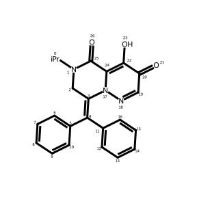 CC(C)N1CC(=C(c2ccccc2)c2ccccc2)n2ncc(=O)c(O)c2C1=O